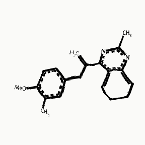 C=C(Cc1ccc(OC)c(C)c1)c1nc(C)nc2c1=CCCC=2